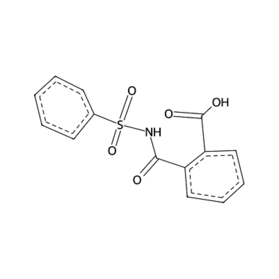 O=C(O)c1ccccc1C(=O)NS(=O)(=O)c1ccccc1